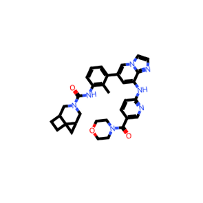 Cc1c(NC(=O)N2CC3CCC34CC4C2)cccc1-c1cc(Nc2ccc(C(=O)N3CCOCC3)cn2)c2nccn2c1